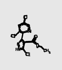 CCOC(=O)c1c(-c2ncc(Cl)cc2Cl)n[nH]c1Cl